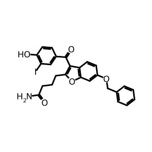 NC(=O)CCCc1oc2cc(OCc3ccccc3)ccc2c1C(=O)c1ccc(O)c(I)c1